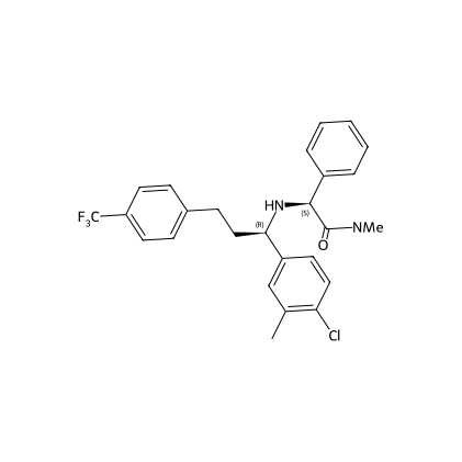 CNC(=O)[C@@H](N[C@H](CCc1ccc(C(F)(F)F)cc1)c1ccc(Cl)c(C)c1)c1ccccc1